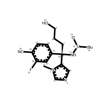 Cn1cncc1[C@@](CCCO)(N[S+]([O-])C(C)(C)C)c1ccc(C#N)c(F)c1